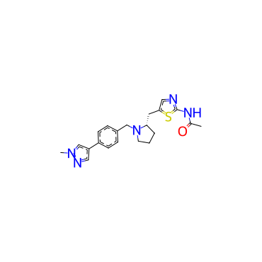 CC(=O)Nc1ncc(C[C@@H]2CCCN2Cc2ccc(-c3cnn(C)c3)cc2)s1